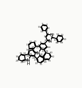 c1ccc(-c2cc(-c3cc(-c4ccccc4)c(-n4c5ccccc5c5c6[nH]c7ccccc7c6ccc54)c(-c4ccccc4)c3)nc(-c3ccccc3)n2)cc1